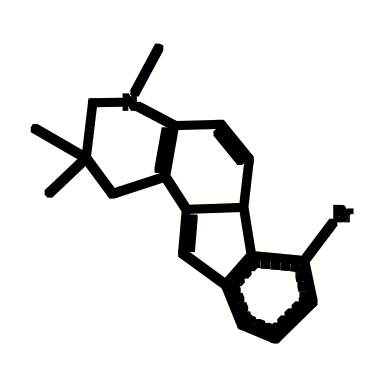 CN1CC(C)(C)CC2=C1C=CC1C2=Cc2cccc(Br)c21